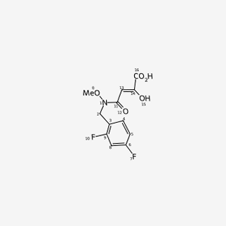 CON(Cc1ccc(F)cc1F)C(=O)/C=C(\O)C(=O)O